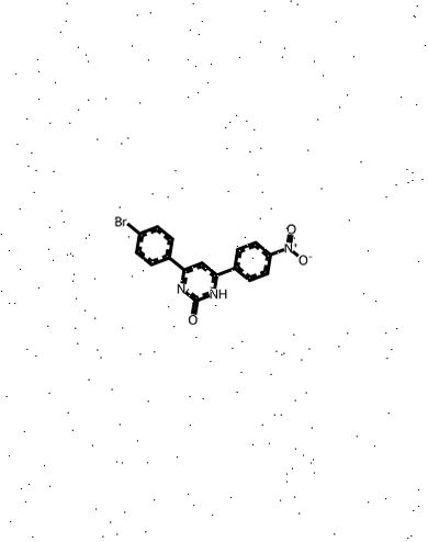 O=c1nc(-c2ccc(Br)cc2)cc(-c2ccc([N+](=O)[O-])cc2)[nH]1